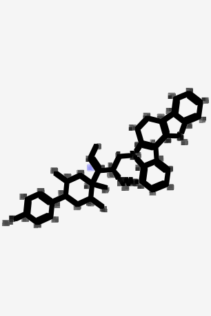 C/C=C(\[C@@H](Cn1c2c(c3ccccc31)-c1sc3ccccc3c1CC2)NC)C1(C)CC(C)C(c2ccc(F)cc2)CC1C